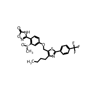 CCCCc1nc(-c2ccc(C(F)(F)F)cc2)sc1COc1ccc(-c2noc(=O)[nH]2)c([S+](C)[O-])c1